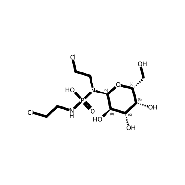 O=P(O)(NCCCl)N(CCCl)[C@H]1O[C@H](CO)[C@H](O)[C@H](O)[C@H]1O